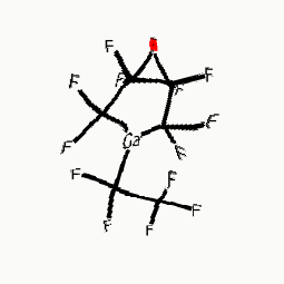 FC(F)(F)[C](F)(F)[Ga]([C](F)(F)C(F)(F)F)[C](F)(F)C(F)(F)F